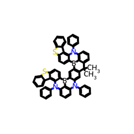 CC1(C)c2cc3c(cc2B2c4ccc5sc6ccccc6c5c4N(c4ccccc4)c4cccc1c42)B1c2ccc4sc5ccccc5c4c2N(c2ccccc2)c2cccc(c21)N3c1ccccc1